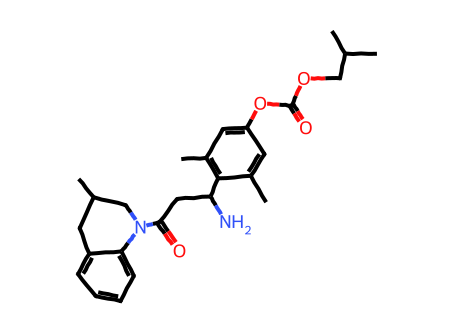 Cc1cc(OC(=O)OCC(C)C)cc(C)c1C(N)CC(=O)N1CC(C)Cc2ccccc21